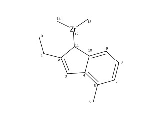 CCC1=Cc2c(C)cccc2[CH]1[Zr]([CH3])[CH3]